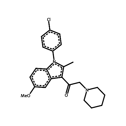 COc1ccc2c(c1)c(C(=O)CN1CCCCC1)c(C)n2-c1ccc(Cl)cc1